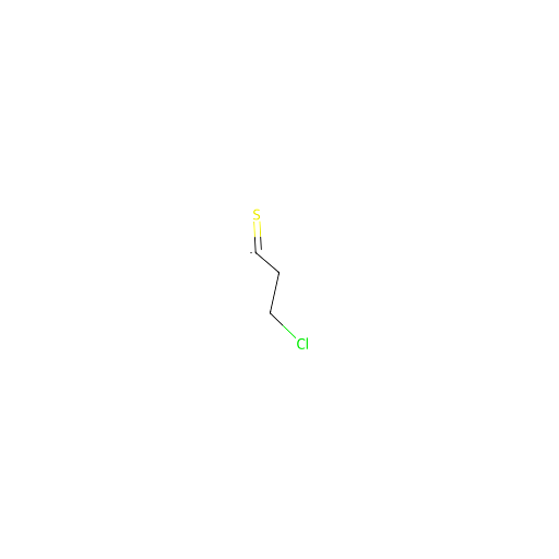 S=[C]CCCl